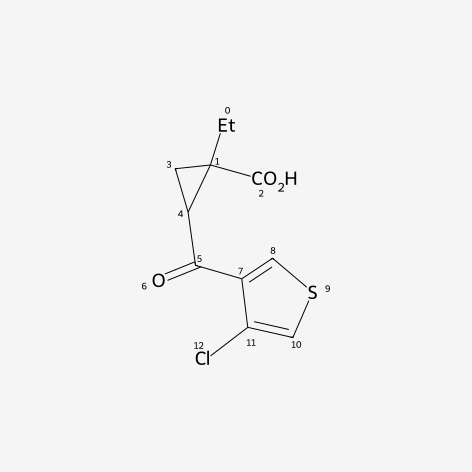 CCC1(C(=O)O)CC1C(=O)c1cscc1Cl